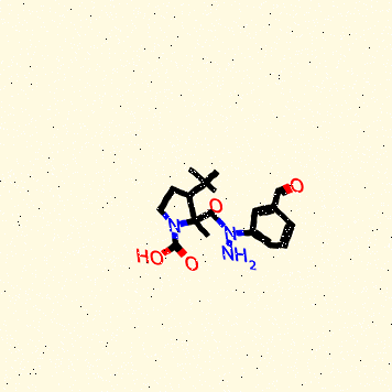 CC(C)(C)C1CCN(C(=O)O)C1(C)C(=O)N(N)c1cccc(C=O)c1